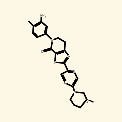 Nc1cc(N2CCc3nc(-c4cnc(N5CCC[C@H](F)C5)cn4)sc3C2=O)ccc1F